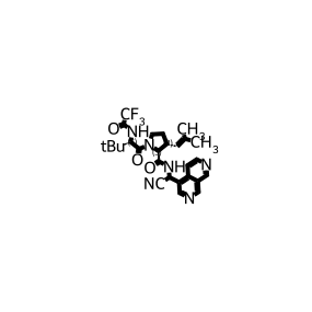 CC(C)=C[C@H]1CCN(C(=O)[C@@H](NC(=O)C(F)(F)F)C(C)(C)C)[C@@H]1C(=O)NC(C#N)c1cncc2cnccc12